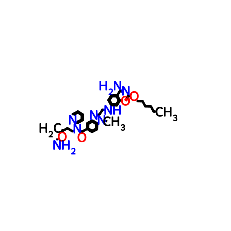 C=C(CCN(C(=O)c1ccc2c(c1)nc(CNc1ccc(/C(N)=N\C(=O)OCCCCCC)cc1)n2C)c1ccccn1)OCN